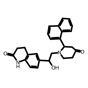 O=C1CCN(CC(O)c2ccc3c(c2)CCC(=O)N3)C(c2cccc3ccccc23)C1